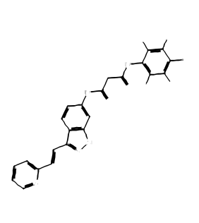 O=C(CC(=O)Nc1c(F)c(F)c(F)c(F)c1F)Nc1ccc2c(C=Cc3ccccn3)n[nH]c2c1